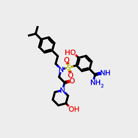 CC(C)c1ccc(CCN(CC(=O)N2CCCC(O)C2)S(=O)(=O)c2cc(C(=N)N)ccc2O)cc1